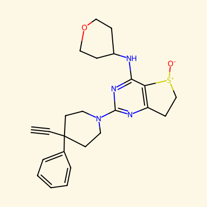 C#CC1(c2ccccc2)CCN(c2nc3c(c(NC4CCOCC4)n2)[S+]([O-])CC3)CC1